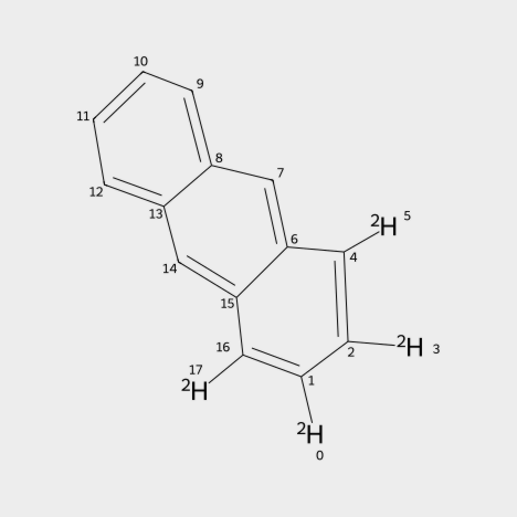 [2H]c1c([2H])c([2H])c2cc3ccccc3cc2c1[2H]